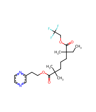 CCC(C)(CCCC(C)(C)C(=O)OCCc1cnccn1)C(=O)OCC(F)(F)F